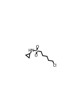 O=S(=O)(CCCCCCl)NC1CC1